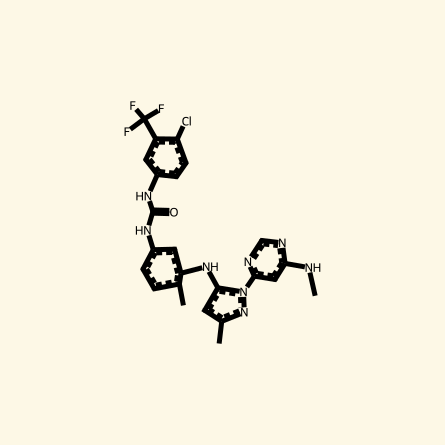 CNc1cc(-n2nc(C)cc2Nc2cc(NC(=O)Nc3ccc(Cl)c(C(F)(F)F)c3)ccc2C)ncn1